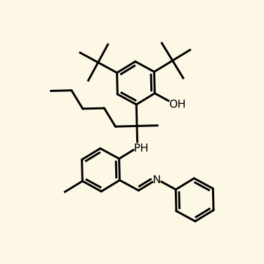 CCCCCC(C)(Pc1ccc(C)cc1/C=N/c1ccccc1)c1cc(C(C)(C)C)cc(C(C)(C)C)c1O